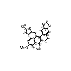 COc1ccc2c(Cc3cnc(Cl)s3)c3n(c(=O)c2c1OC)CCc1cc2c(cc1-3)OCO2